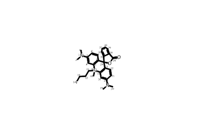 CN(C)c1ccc2c(c1)[Si](C)(CCCI)c1cc(N(C)C)ccc1C21OC(=O)c2ccccc21